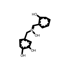 Oc1ccc(C/[N+](O)=C/c2ccccc2O)cc1O